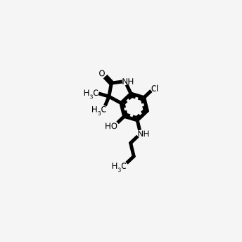 CCCNc1cc(Cl)c2c(c1O)C(C)(C)C(=O)N2